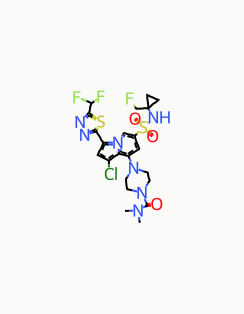 CN(C)C(=O)N1CCN(c2cc(S(=O)(=O)NC3(CF)CC3)cn3c(-c4nnc(C(F)F)s4)cc(Cl)c23)CC1